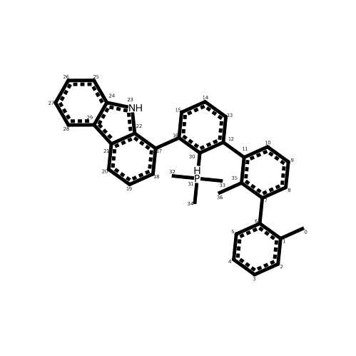 Cc1ccccc1-c1cccc(-c2cccc(-c3cccc4c3[nH]c3ccccc34)c2[PH](C)(C)C)c1C